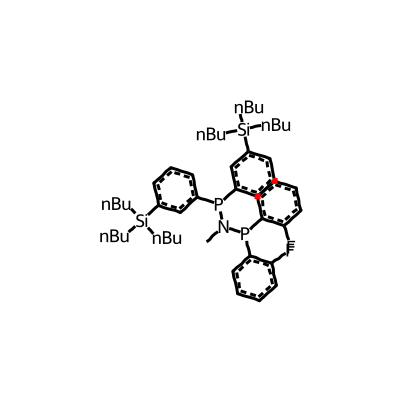 CCCC[Si](CCCC)(CCCC)c1cccc(P(c2cccc([Si](CCCC)(CCCC)CCCC)c2)N(C)P(c2ccccc2F)c2ccccc2F)c1